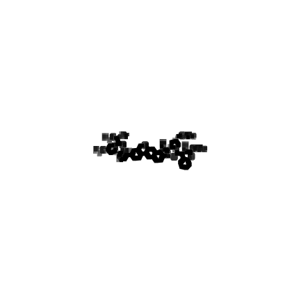 COC[C@H]1C[C@@H](c2nc3ccc4cc5c(cc4c3[nH]2)OCc2cc(-c3cnc([C@@H]4C[C@H](C(F)(F)F)CN4C(=O)[C@@H](C)C(C)C)[nH]3)ccc2-5)N(C(=O)C(NC(=O)OC)c2ccccc2)C1